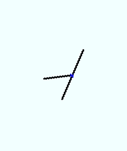 CCCCCCCCCCCCCCCCCCCCCCN(CCCCCCCCCCCCCCCCCCCC)CCCCCCCCCCCCCCCCCCCCCC